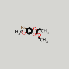 CCOC(=O)C(CC)Oc1ccc(OC)c(Br)c1